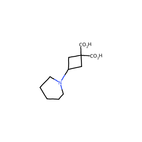 O=C(O)C1(C(=O)O)CC(N2CCCCC2)C1